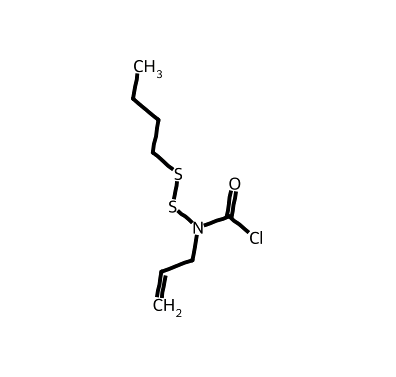 C=CCN(SSCCCC)C(=O)Cl